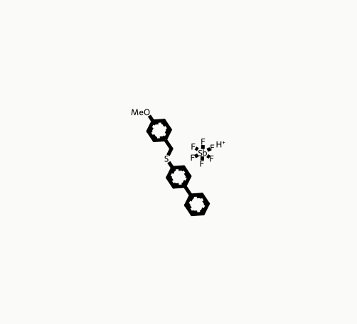 COc1ccc(CSc2ccc(-c3ccccc3)cc2)cc1.[F][Sb-]([F])([F])([F])([F])[F].[H+]